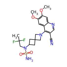 COc1cc2ncc(C#N)c(N3CC4(CC(N(CC(C)(F)F)S(N)(=O)=O)C4)C3)c2cc1OC